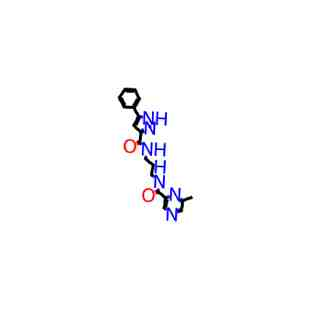 Cc1cncc(C(=O)NCCCNC(=O)c2cc(-c3ccccc3)[nH]n2)n1